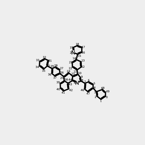 c1ccc(-c2ccc(-c3cc(-c4ccc(-c5ccccn5)cc4)c4cc(-c5ccc(-c6ccccc6)cc5)c5ccccc5c4n3)cc2)cc1